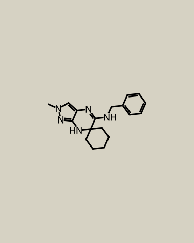 Cn1cc2c(n1)NC1(CCCCC1)C(NCc1ccccc1)=N2